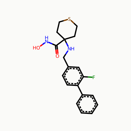 O=C(NO)C1(NCc2ccc(-c3ccccc3)c(F)c2)CCSCC1